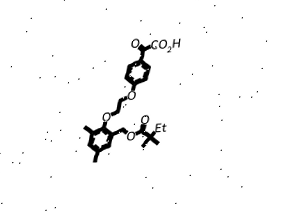 CCC(C)(C)C(=O)OCc1cc(C)cc(C)c1OCCOc1ccc(C(=O)C(=O)O)cc1